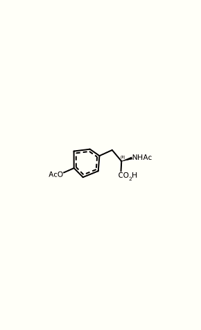 CC(=O)N[C@H](Cc1ccc(OC(C)=O)cc1)C(=O)O